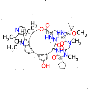 CCn1c(-c2cccnc2C(C)C)c2c3cc(ccc31)-c1cc(O)cc(c1)C[C@H](NC(=O)[C@H](C1CCCC1)N(C)C(=O)CN(C)C(=O)[C@@H]1N[C@@H]1C1(OC)CC1)C(=O)N1CCC[C@H](N1)C(=O)OCC(C)(C)C2